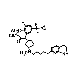 COc1c(F)cc(C(F)(F)C2CC2)cc1C(C(=O)OC(C)(C)C)N1CC[C@@H](N(C)CCCCCc2ccc3c(n2)NCCC3)C1